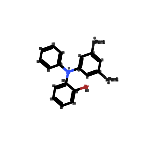 CCCCCc1cc(CCCCC)cc(N(c2ccccc2)c2ccccc2Br)c1